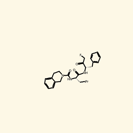 CC(C)C[C@H](NC(=O)N1CCc2ccccc2C1)C(=O)N[C@@H](Cc1ccccc1)C(=O)CF